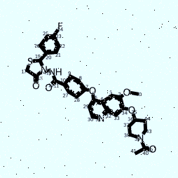 COc1cc2c(Oc3ccc(C(=O)NN4C(=O)CSC4c4ccc(F)cc4)cc3)ccnc2cc1OC1CCN(C(C)=O)CC1